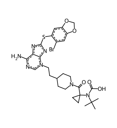 CC(C)(C)N(C(=O)O)C1(C(=O)N2CCC(CCn3cnc(N)c4nc(Sc5cc6c(cc5Br)OCO6)nc3-4)CC2)CC1